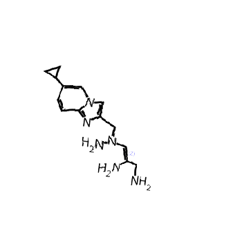 NC/C(N)=C/N(N)Cc1cn2cc(C3CC3)ccc2n1